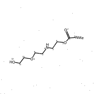 CNC(=O)OCCNCCOCCO